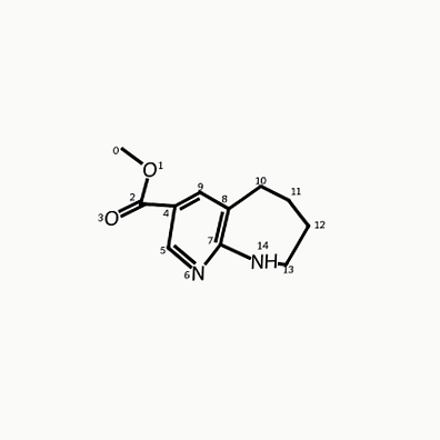 COC(=O)c1cnc2c(c1)CCCCN2